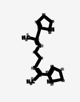 CC(=NCCN=C(C)C1=CCCN1)C1=CCCN1